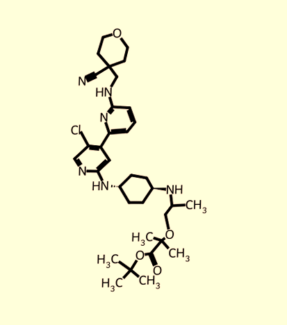 CC(COC(C)(C)C(=O)OC(C)(C)C)N[C@H]1CC[C@H](Nc2cc(-c3cccc(NCC4(C#N)CCOCC4)n3)c(Cl)cn2)CC1